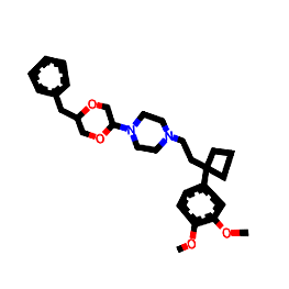 COc1ccc(C2(CCN3CCN(C4COC(Cc5ccccc5)CO4)CC3)CCC2)cc1OC